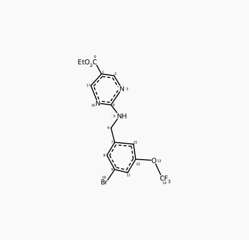 CCOC(=O)c1cnc(NCc2cc(Br)cc(OC(F)(F)F)c2)nc1